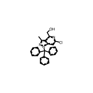 Cc1nn(C(c2ccccc2)(c2ccccc2)c2ccccc2)c2cc(Cl)nc(CO)c12